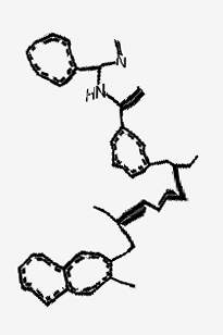 C=NC(NC(=C)c1cccc(C(C)/C=C\C=C(\C)Cc2cc3ccccc3cc2C)c1)c1ccccc1